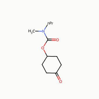 CCCN(C)C(=O)OC1CCC(=O)CC1